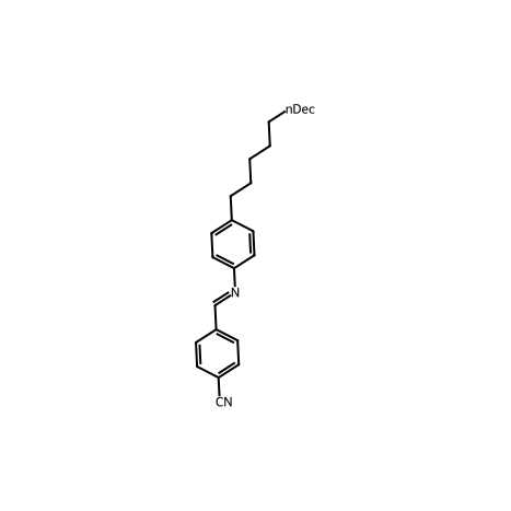 CCCCCCCCCCCCCCCc1ccc(N=Cc2ccc(C#N)cc2)cc1